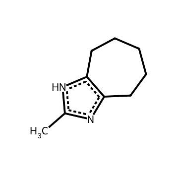 Cc1nc2c([nH]1)CCCCC2